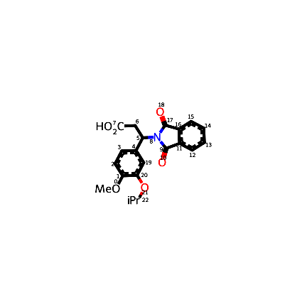 COc1ccc(C(CC(=O)O)N2C(=O)c3ccccc3C2=O)cc1OC(C)C